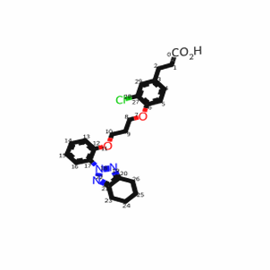 O=C(O)CCc1ccc(OCCCOc2ccccc2-n2nc3c(n2)CCCC3)c(Cl)c1